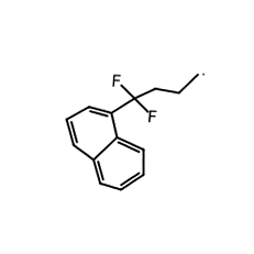 [CH2]CCC(F)(F)c1cccc2ccccc12